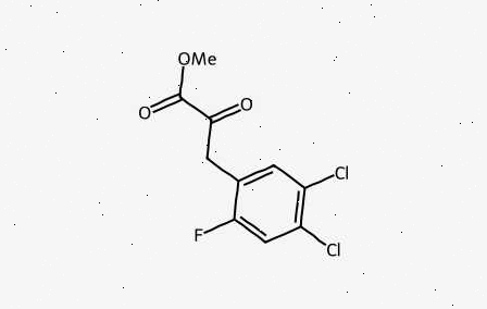 COC(=O)C(=O)Cc1cc(Cl)c(Cl)cc1F